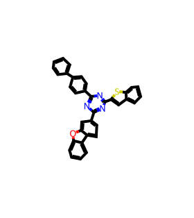 c1ccc(-c2ccc(-c3nc(-c4ccc5c(c4)oc4ccccc45)nc(-c4cc5ccccc5s4)n3)cc2)cc1